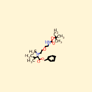 CC(C)C(C(=O)OCc1ccccc1)N(C)CCOCCNC(=O)OC(C)(C)C